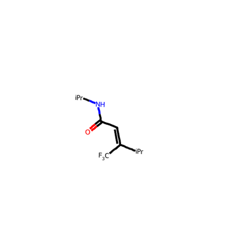 CC(C)NC(=O)/C=C(/C(C)C)C(F)(F)F